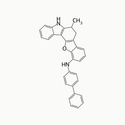 CC1Cc2c(oc3c(Nc4ccc(-c5ccccc5)cc4)cccc23)-c2c1[nH]c1ccccc21